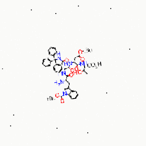 C[C@@H](O)[C@H](NC(=O)[C@H](CC(=O)OC(C)(C)C)NC(=O)[C@@H](CC(=O)NC(c1ccccc1)(c1ccccc1)c1ccccc1)NC(=O)[C@@H](N)Cc1cn(C(=O)OC(C)(C)C)c2ccccc12)C(=O)O